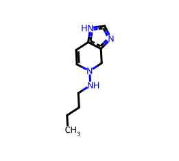 CCCCNN1C=Cc2[nH]cnc2C1